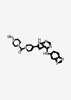 CC(C)(C)N1CCN(C(=O)N2CC=C(c3cc4c(Nc5ccc6ncsc6c5)ncnc4[nH]3)CC2)CC1